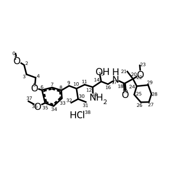 COCCCOc1cc(CC(CC(N)C(O)CNC(=O)C(C)(OC)C2CCCCC2)C(C)C)ccc1OC.Cl